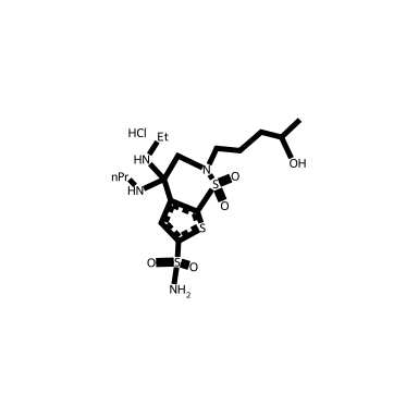 CCCNC1(NCC)CN(CCCC(C)O)S(=O)(=O)c2sc(S(N)(=O)=O)cc21.Cl